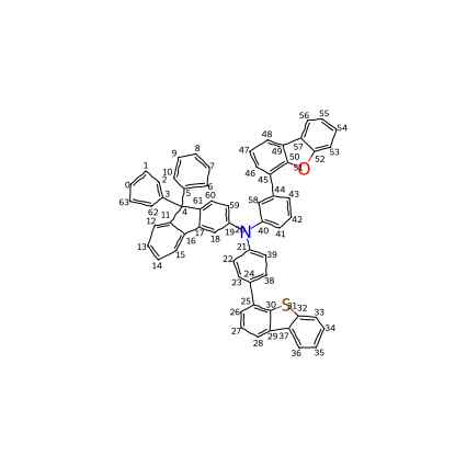 c1ccc(C2(c3ccccc3)c3ccccc3-c3cc(N(c4ccc(-c5cccc6c5sc5ccccc56)cc4)c4cccc(-c5cccc6c5oc5ccccc56)c4)ccc32)cc1